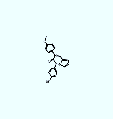 COc1ccc(N2Cc3cncn3C(c3ccc(Br)cc3)C2=O)cc1